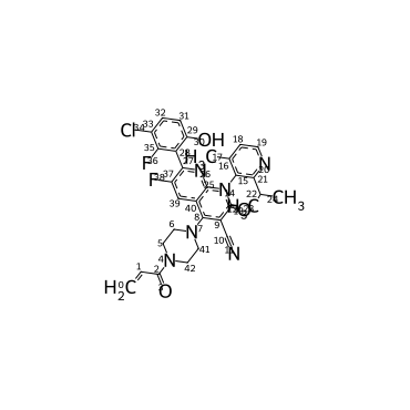 C=CC(=O)N1CCN(c2c(C#N)c(=O)n(-c3c(C)ccnc3C(C)C)c3nc(-c4c(O)ccc(Cl)c4F)c(F)cc23)CC1